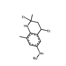 CCC(C)Nc1cc(C)c2c(c1)C(CC)CC(C)(CC)N2